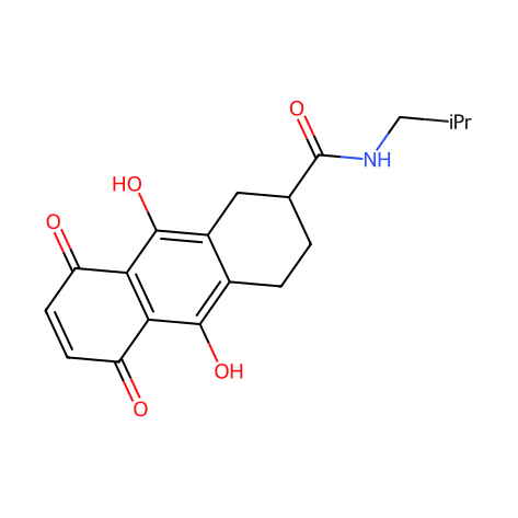 CC(C)CNC(=O)C1CCc2c(O)c3c(c(O)c2C1)C(=O)C=CC3=O